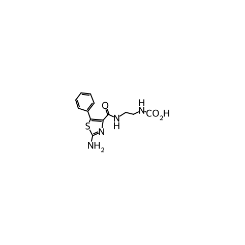 Nc1nc(C(=O)NCCNC(=O)O)c(-c2ccccc2)s1